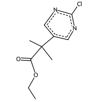 CCOC(=O)C(C)(C)c1cnc(Cl)nc1